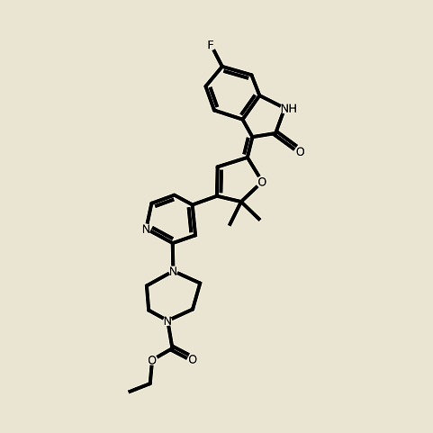 CCOC(=O)N1CCN(c2cc(C3=CC(=C4C(=O)Nc5cc(F)ccc54)OC3(C)C)ccn2)CC1